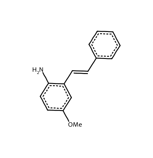 COc1ccc(N)c(C=Cc2ccccc2)c1